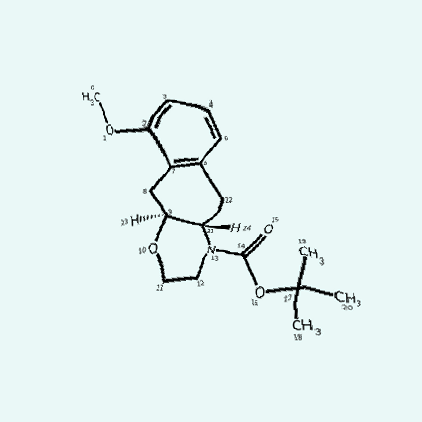 COc1cccc2c1C[C@@H]1OCCN(C(=O)OC(C)(C)C)[C@H]1C2